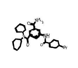 CC(C)C1CCC(C(=O)Nc2cc(C(N)=O)cc(C(=O)N(C3CCCCC3)C3CCCCC3)c2)CC1